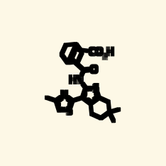 Cc1csc(-c2c(NC(=O)C3=C(C(=O)O)C4CCC3CC4)sc3c2CCC(C)(C)C3)n1